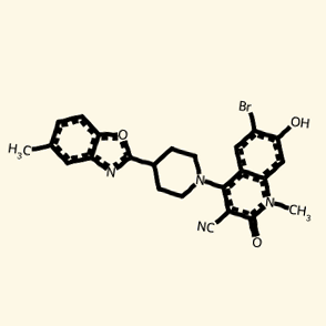 Cc1ccc2oc(C3CCN(c4c(C#N)c(=O)n(C)c5cc(O)c(Br)cc45)CC3)nc2c1